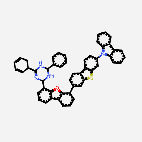 C1=CCC(C2=NC(c3cccc4c3oc3c(-c5ccc6c(c5)sc5cc(-n7c8ccccc8c8ccccc87)ccc56)cccc34)NC(c3ccccc3)N2)C=C1